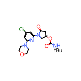 CC(C)(C)NC(=O)O[C@@H]1CC(=O)N(c2cc(Cl)cc(N3CCOCC3)n2)C1